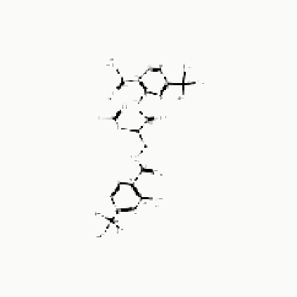 CC(=O)NC(CSC(=O)c1ccc(C(F)(F)F)cc1O)C(=O)Oc1cc(C(F)(F)F)ccc1C(=O)O